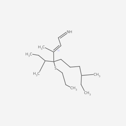 CCCSC(CCCC(C)CC)(/C(C)=C/C=N)C(C)CC